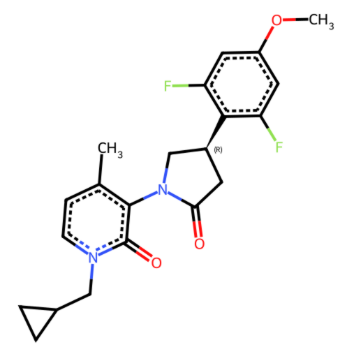 COc1cc(F)c([C@H]2CC(=O)N(c3c(C)ccn(CC4CC4)c3=O)C2)c(F)c1